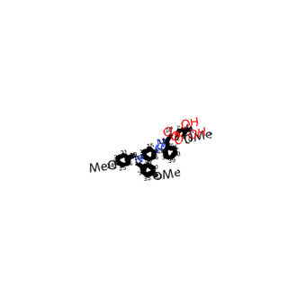 COC(=O)C(O)(CO)COC(=O)c1nn(-c2ccc(N(Cc3ccc(OC)cc3)Cc3ccc(OC)cc3)cc2)c2ccccc12